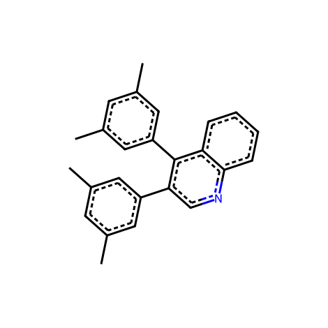 Cc1cc(C)cc(-c2cnc3ccccc3c2-c2cc(C)cc(C)c2)c1